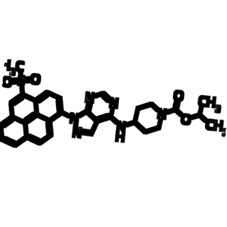 CC(C)OC(=O)N1CCC(Nc2ncnc3c2cnn3-c2ccc3c(S(C)(=O)=O)cc4cccc5ccc2c3c54)CC1